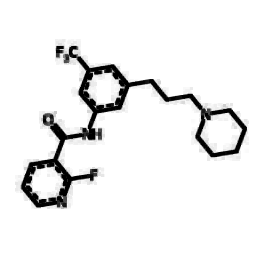 O=C(Nc1cc(CCCN2CCCCC2)cc(C(F)(F)F)c1)c1cccnc1F